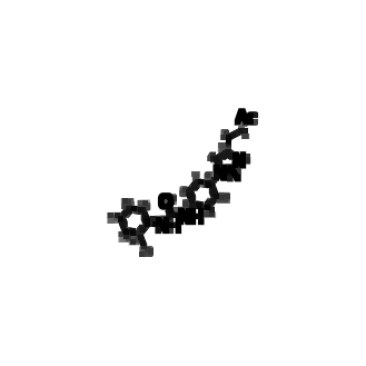 CC(=O)CCc1cn(-c2ccc(NC(=O)Nc3ccccc3C)cc2)nn1